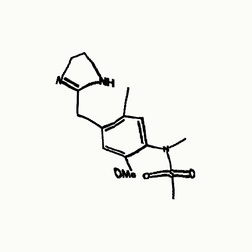 COc1cc(CC2=NCCN2)c(C)cc1N(C)S(C)(=O)=O